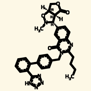 CCCCc1nc2ccc([C@H]3[C@@H]4C(=O)OC[C@@H]4ON3C)cc2c(=O)n1Cc1ccc(-c2ccccc2-c2nnn[nH]2)cc1